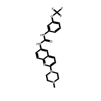 CN1CCN(c2ccc3cc(NC(=O)Nc4cccc(OC(F)(F)F)c4)ccc3n2)CC1